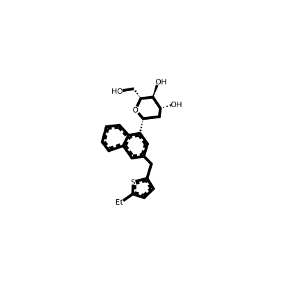 CCc1ccc(Cc2cc([C@H]3C[C@@H](O)[C@H](O)[C@@H](CO)O3)c3ccccc3c2)s1